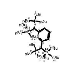 CCCC[PH](CCCC)(CCCC)C(c1cccc(C([PH](CCCC)(CCCC)CCCC)[PH](CCCC)(CCCC)CCCC)n1)[PH](CCCC)(CCCC)CCCC